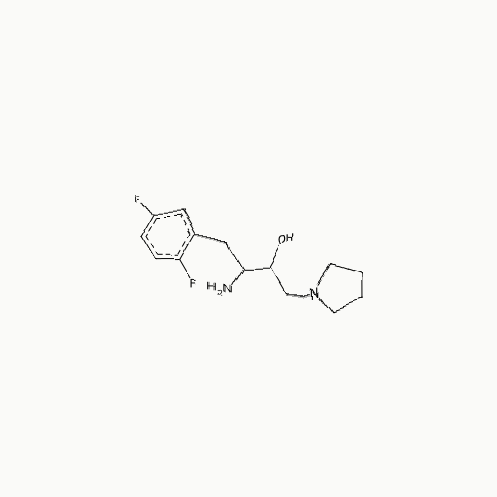 NC(Cc1cc(F)ccc1F)C(O)CN1CCCC1